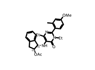 CCc1nc(-c2ccc(OC)cc2C)n(CC)c(=O)c1N[C@H]1c2ccccc2C[C@@H]1OC(C)=O